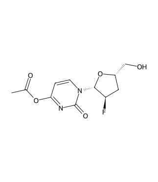 CC(=O)Oc1ccn([C@@H]2O[C@H](CO)C[C@H]2F)c(=O)n1